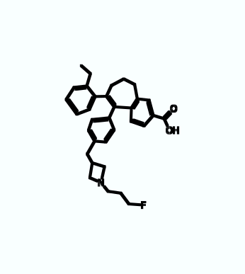 CCc1ccccc1C1=C(c2ccc(CC3CN(CCCF)C3)cc2)c2ccc(C(=O)O)cc2CCC1